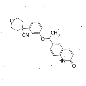 CC(Oc1cccc(C2(C#N)CCOCC2)c1)c1ccc2[nH]c(=O)ccc2c1